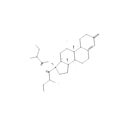 CC(CC(=O)O)C(=O)O[C@]1(C(=O)C(O)CO)CC[C@H]2[C@@H]3CCC4=CC(=O)CC[C@]4(C)[C@H]3[C@@H](O)C[C@@]21C